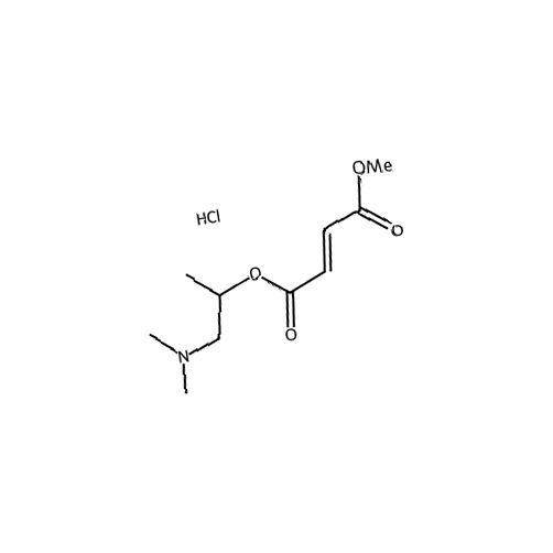 COC(=O)C=CC(=O)OC(C)CN(C)C.Cl